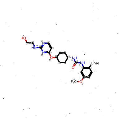 COc1ccc(OC(F)(F)F)cc1NC(=O)N[C@H]1CC[C@H](Oc2ccnc(NCCO)n2)CC1